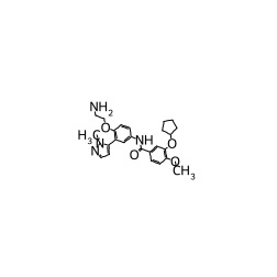 COc1ccc(C(=O)Nc2ccc(OCCN)c(-c3ccnn3C)c2)cc1OC1CCCC1